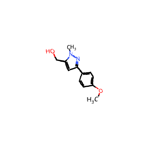 COc1ccc(-c2cc(CO)n(C)n2)cc1